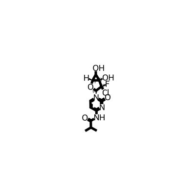 CC(C)C(=O)Nc1ccn([C@@H]2O[C@@H]3C(O)[C@]3(O)[C@]2(F)Cl)c(=O)n1